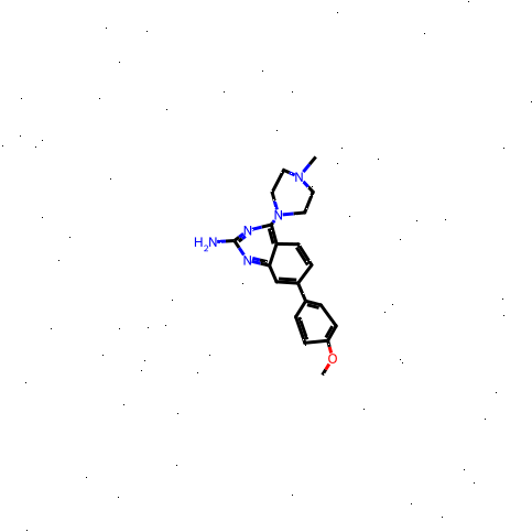 COc1ccc(-c2ccc3c(N4CCN(C)CC4)nc(N)nc3c2)cc1